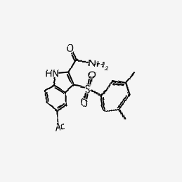 CC(=O)c1ccc2[nH]c(C(N)=O)c(S(=O)(=O)c3cc(C)cc(C)c3)c2c1